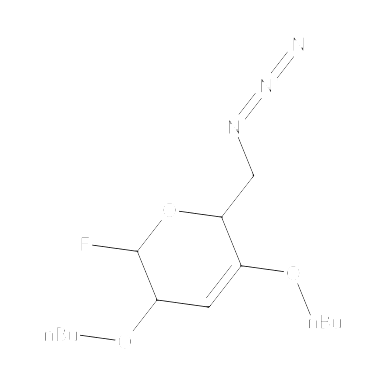 CCCCOC1=CC(OCCCC)C(F)OC1CN=[N+]=[N-]